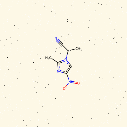 Cc1nc([N+](=O)[O-])cn1C(C)C#N